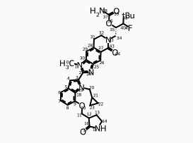 Cn1c(-c2cc3cccc(OCC4CCNC4=O)c3n2CC2CC2)nc2cc3c(cc21)CCN(C[C@H](OC(N)=O)C(F)C(C)(C)C)C3=O